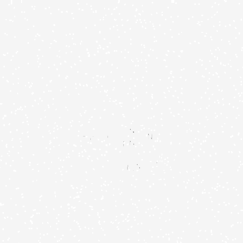 NC(=O)c1nc(-c2ccc(F)c(-c3ccccc3-c3ccc(OC(F)(F)F)cc3)c2)n[nH]1